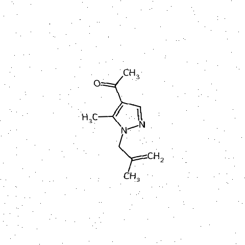 C=C(C)Cn1ncc(C(C)=O)c1C